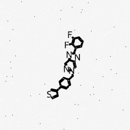 Fc1cccc(-c2nc3cnn(Cc4ccc(-c5ccsc5)cc4)cc-3n2)c1F